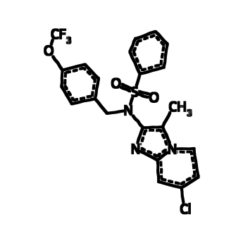 Cc1c(N(Cc2ccc(OC(F)(F)F)cc2)S(=O)(=O)c2ccccc2)nc2cc(Cl)ccn12